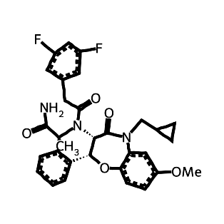 COc1ccc2c(c1)N(CC1CC1)C(=O)[C@@H](N(C(=O)Cc1cc(F)cc(F)c1)[C@@H](C)C(N)=O)[C@@H](c1ccccc1)O2